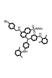 CCC(C)c1ccc(CNc2ccc(C(c3ccc(Nc4c(C)cccc4C)cc3)c3ccc(Nc4c(C)cccc4C)cc3)c3cc(S(=O)(=O)NC)ccc23)cc1